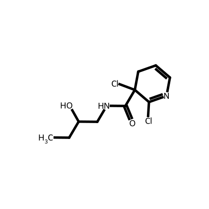 CCC(O)CNC(=O)C1(Cl)CC=CN=C1Cl